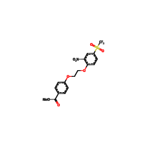 COC(=O)c1ccc(OCCOc2ccc(S(=O)(=O)C(F)(F)F)cc2[N+](=O)[O-])cc1